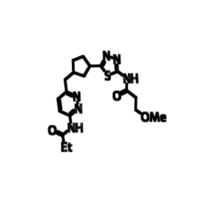 CCC(=O)Nc1ccc(CC2CCC(c3nnc(NC(=O)CCOC)s3)C2)nn1